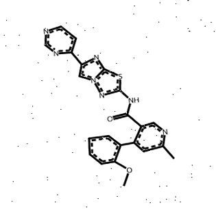 COc1ccccc1-c1cc(C)ncc1C(=O)Nc1nn2cc(-c3ccncn3)nc2s1